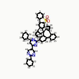 O=S1(=O)c2ccccc2-c2cc3c(cc21)C1(c2ccccc2-c2ccccc2-c2ccc(-c4nc(-c5ccccc5)cc(-c5cnc(-c6ccccc6)nc5)n4)cc21)c1ccccc1-3